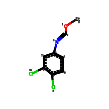 CCOC=Nc1ccc(Cl)c(Cl)c1